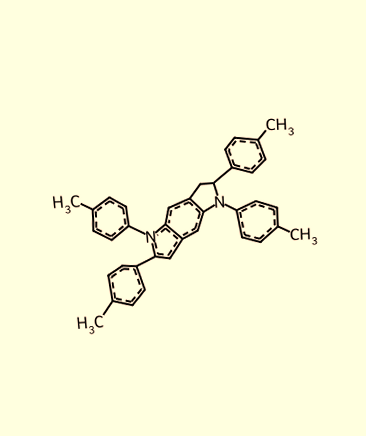 Cc1ccc(-c2cc3cc4c(cc3n2-c2ccc(C)cc2)CC(c2ccc(C)cc2)N4c2ccc(C)cc2)cc1